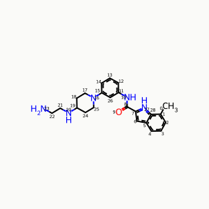 Cc1cccc2cc(C(=O)Nc3cccc(N4CCC(NCCN)CC4)c3)[nH]c12